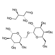 O=C[C@H](O)[C@H](O)CO.OC[C@H]1O[C@H](OC[C@H]2O[C@@H](O)[C@H](O)[C@@H](O)[C@@H]2O)[C@H](O)[C@@H](O)[C@H]1O